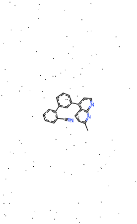 Cc1ccc2c(-c3cccc(-c4ccccc4C#N)c3)ccnc2n1